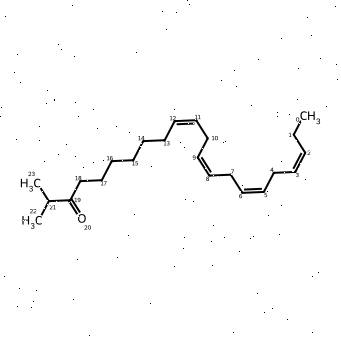 CC/C=C\C/C=C\C/C=C\C/C=C\CCCCCCC(=O)C(C)C